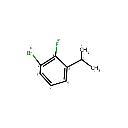 C[C](C)c1cccc(Br)c1F